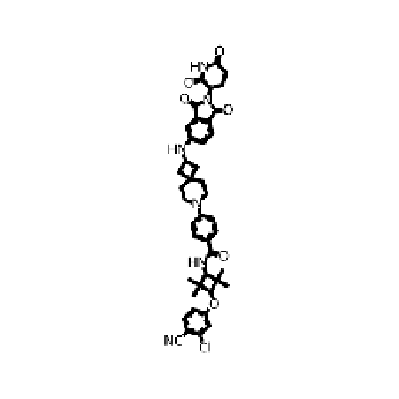 CC1(C)C(NC(=O)c2ccc(N3CCC4(CC3)CC(Nc3ccc5c(c3)C(=O)N(C3CCC(=O)NC3=O)C5=O)C4)cc2)C(C)(C)C1Oc1ccc(C#N)c(Cl)c1